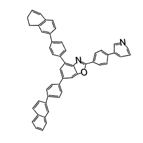 C1=Cc2ccc(-c3ccc(-c4cc(-c5ccc(-c6ccc7ccccc7c6)cc5)cc5oc(-c6ccc(-c7cccnc7)cc6)nc45)cc3)cc2CC1